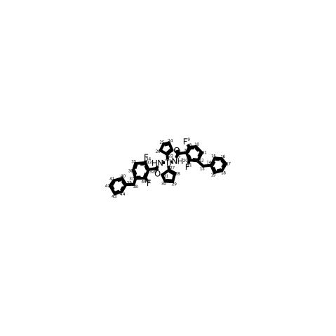 O=C([NH][Ti]([NH]C(=O)c1c(F)ccc(Cc2ccccc2)c1F)([C]1=CC=CC1)[C]1=CC=CC1)c1c(F)ccc(Cc2ccccc2)c1F